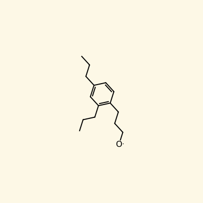 CCCc1ccc(CCC[O])c(CCC)c1